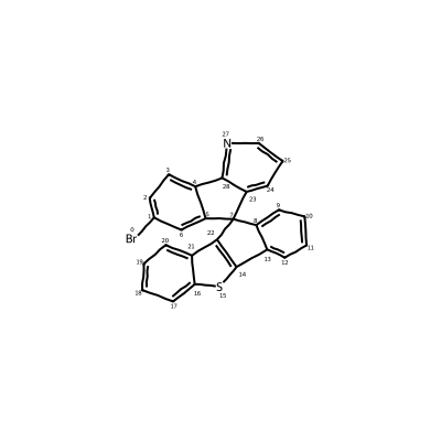 Brc1ccc2c(c1)C1(c3ccccc3-c3sc4ccccc4c31)c1cccnc1-2